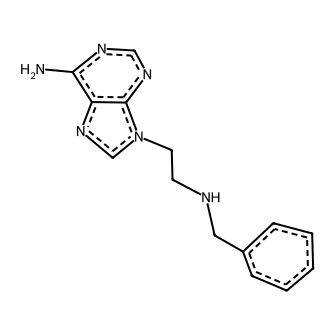 Nc1ncnc2c1ncn2CCNCc1ccccc1